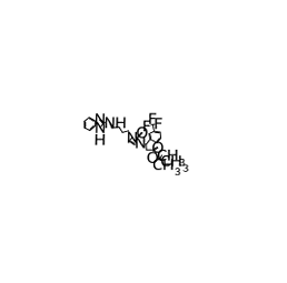 CC(C)(C)OC(=O)CC(c1cccc(C(F)(F)F)c1)n1ccn(CCCCNc2nc3ccccc3[nH]2)c1=O